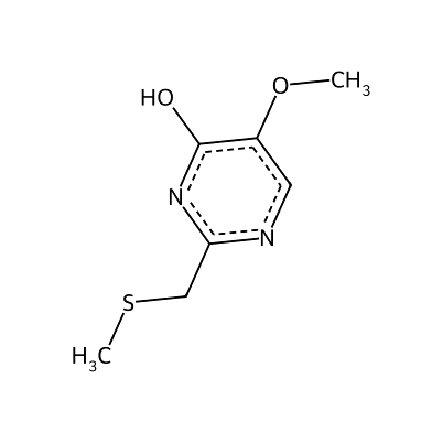 COc1cnc(CSC)nc1O